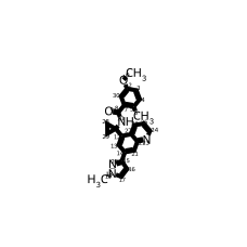 COc1ccc(C)c(C(=O)NC2(c3cc(-c4ccn(C)n4)cc4ncccc34)CC2)c1